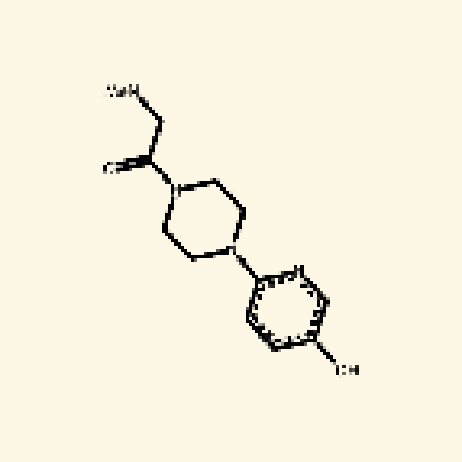 CNCC(=O)N1CCN(c2ccc(O)cn2)CC1